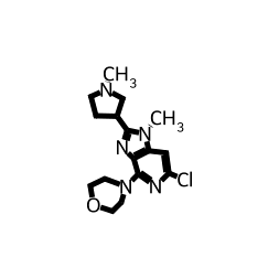 CN1CCC(c2nc3c(N4CCOCC4)nc(Cl)cc3n2C)C1